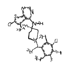 [2H]c1c(F)c([2H])c(C([2H])N2CCC([2H])(N([2H])c3ncnc4sc(Cl)c([2H])c34)CC2)c([2H])c1Cl